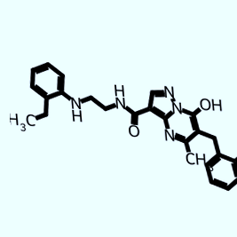 CCc1ccccc1NCCNC(=O)c1cnn2c(O)c(Cc3ccccc3F)c(C)nc12